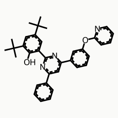 CC(C)(C)c1cc(-c2nc(-c3ccccc3)cc(-c3cccc(Oc4ccccn4)c3)n2)c(O)c(C(C)(C)C)c1